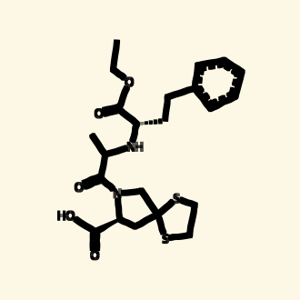 CCOC(=O)[C@H](CCc1ccccc1)NC(C)C(=O)N1CC2(C[C@H]1C(=O)O)SCCS2